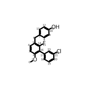 COc1ccc(Cc2ccc(O)cc2)c(F)c1-c1cccc(Cl)c1